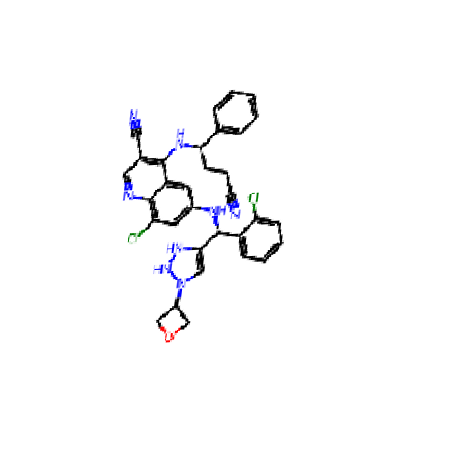 N#CCC[C@@H](Nc1c(C#N)cnc2c(Cl)cc(N[C@H](C3=CN(C4COC4)NN3)c3ccccc3Cl)cc12)c1ccccc1